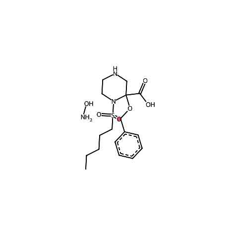 CCCCCS(=O)(=O)N1CCNCC1(OCc1ccccc1)C(=O)O.NO